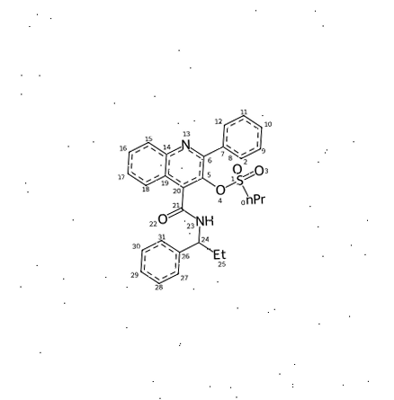 CCCS(=O)(=O)Oc1c(-c2ccccc2)nc2ccccc2c1C(=O)NC(CC)c1ccccc1